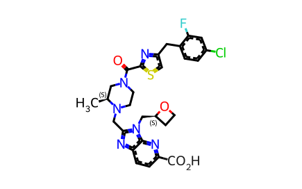 C[C@H]1CN(C(=O)c2nc(Cc3ccc(Cl)cc3F)cs2)CCN1Cc1nc2ccc(C(=O)O)nc2n1C[C@@H]1CCO1